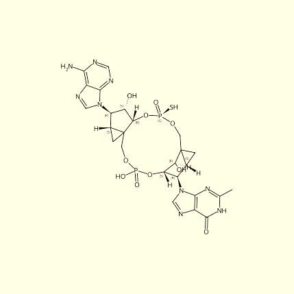 Cc1nc2c(ncn2[C@H]2[C@@H]3OP(=O)(O)OCC45C[C@@H]4[C@@H](n4cnc6c(N)ncnc64)[C@H](O)[C@@H]5O[P@@](=O)(S)OCC4(C[C@H]24)[C@H]3O)c(=O)[nH]1